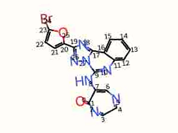 O=c1nccncc1Nc1nc2ccccc2c2nc(-c3ccc(Br)o3)nn12